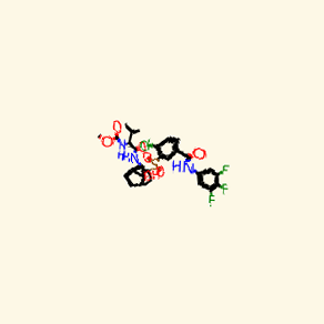 COC(=O)N[C@H](C(=O)NC[C@]1(O)C2CCC1C[C@@H](S(=O)(=O)c1cc(C(=O)Nc3cc(F)c(F)c(F)c3)ccc1Cl)C2)C(C)C